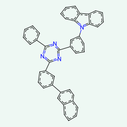 c1ccc(-c2nc(-c3cccc(-c4ccc5ccccc5c4)c3)nc(-c3cccc(-n4c5ccccc5c5ccccc54)c3)n2)cc1